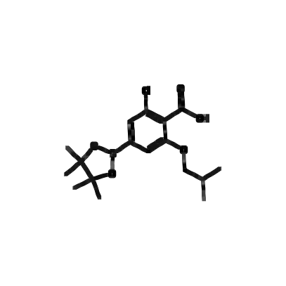 CC(C)COc1cc(B2OC(C)(C)C(C)(C)O2)cc(Cl)c1C(=O)O